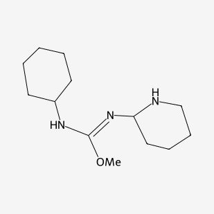 CO/C(=N\C1CCCCN1)NC1CCCCC1